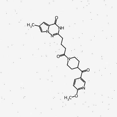 COc1ccc(C(=O)C2CCN(C(=O)CCCc3nn4cc(C)cc4c(=O)[nH]3)CC2)cn1